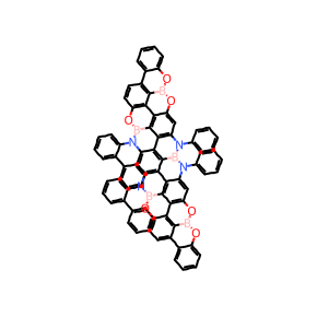 c1ccc(-c2ccccc2N2B3Oc4ccc5c6c4-c4c(cc7c(c43)-c3c2cc2c4c3B(N7c3ccccc3)N(c3ccccc3)c3cc7c8c(c3-4)B(Oc3ccc4c(c3-8)B(Oc3ccccc3-4)O7)N2c2ccccc2-c2ccccc2)OB6Oc2ccccc2-5)cc1